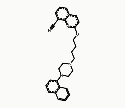 N#Cc1cccc2ccc(OCCCCN3CCN(c4cccc5c4C=C=C=C5)CC3)nc12